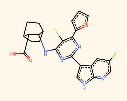 O=C(O)C1C2CCC(CC2)C1Nc1nc(-c2c[nH]c3ncc(F)cc23)nc(-c2ccco2)c1F